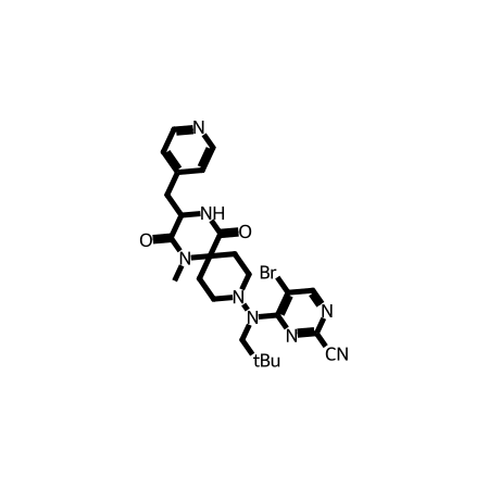 CN1C(=O)C(Cc2ccncc2)NC(=O)C12CCN(N(CC(C)(C)C)c1nc(C#N)ncc1Br)CC2